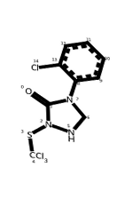 O=C1N(SC(Cl)(Cl)Cl)NCN1c1ccccc1Cl